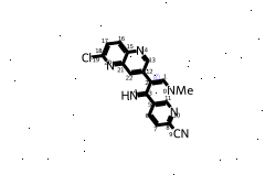 CN/C=C(\C(=N)c1ccc(C#N)nc1)c1cnc2ccc(Cl)nc2c1